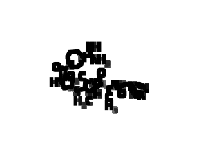 CC(NC(=O)Cn1cnnn1)[C@H]1C(=O)N2C(C(=O)O)=C(S[C@@H]3CN[C@H](C(=O)N4CCCN(C(=N)N)CC4)C3)[C@H](C)[C@H]12